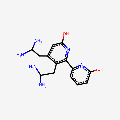 NC(N)Cc1cc(O)nc(-c2cccc(O)n2)c1CC(N)N